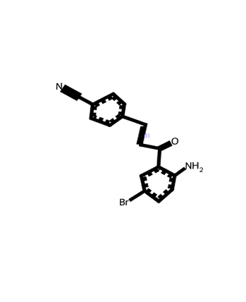 N#Cc1ccc(/C=C/C(=O)c2cc(Br)ccc2N)cc1